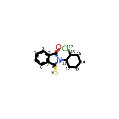 O=C1c2ccccc2C(=S)N1C1CCCCC1Cl